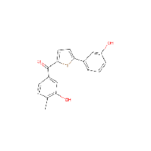 Cc1ccc(C(=O)c2ccc(-c3cccc(O)c3)s2)cc1O